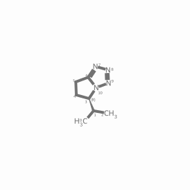 CC(C)[C@H]1CCc2nnnn21